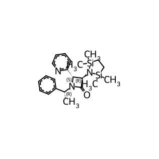 C[C@H](c1ccccc1)N1C(=O)[C@H](N2[Si](C)(C)CC[Si]2(C)C)[C@H]1c1ccccn1